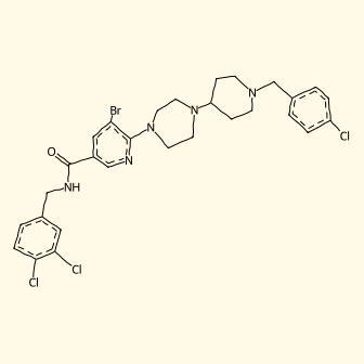 O=C(NCc1ccc(Cl)c(Cl)c1)c1cnc(N2CCN(C3CCN(Cc4ccc(Cl)cc4)CC3)CC2)c(Br)c1